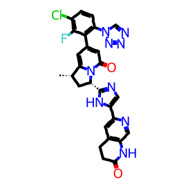 C[C@H]1C[C@@H](c2ncc(-c3cc4c(cn3)NC(=O)CC4)[nH]2)n2c1cc(-c1c(-n3cnnn3)ccc(Cl)c1F)cc2=O